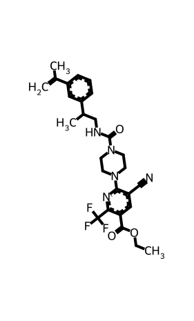 C=C(C)c1cccc(C(C)CNC(=O)N2CCN(c3nc(C(F)(F)F)c(C(=O)OCC)cc3C#N)CC2)c1